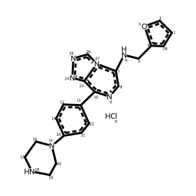 Cl.c1coc(CNc2cnc(-c3ccc(N4CCNCC4)cc3)c3nncn23)c1